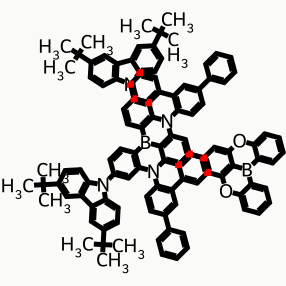 CC(C)(C)c1ccc2c(c1)c1cc(C(C)(C)C)ccc1n2-c1ccc2c(c1)N(c1ccc(-c3ccccc3)cc1-c1ccccc1)c1cc(-c3cc4c5c(c3)Oc3ccccc3B5c3ccccc3O4)cc3c1B2c1ccc(-n2c4ccc(C(C)(C)C)cc4c4cc(C(C)(C)C)ccc42)cc1N3c1ccc(-c2ccccc2)cc1-c1ccccc1